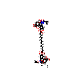 CC1N(CC2CC2)C2C[C@]34c5c2ccc(OC(=O)CCCCCCCCCCCCC(=O)Oc2ccc6c7c2O[C@H]2C(=O)CC[C@@]8(O)C9N(CC%10CC%10)C69C[C@]728)c5O[C@H]3C(=O)CC[C@@]14O